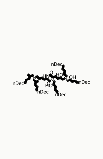 CCCCCCCCCCCCCC(C)CN(CCCCC1NC(=O)C(CCCCN(CC(O)CCCCCCCCCCCCC)CC(O)CCCCCCCCCCCCC)N(CC(O)CCCCCCCCCCCCC)C1=O)CC(C)CCCCCCCCCCCCC